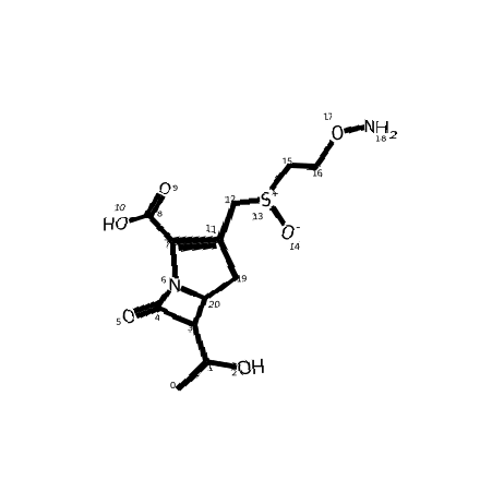 CC(O)C1C(=O)N2C(C(=O)O)=C(C[S+]([O-])CCON)CC12